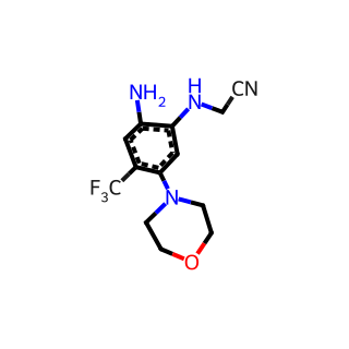 N#CCNc1cc(N2CCOCC2)c(C(F)(F)F)cc1N